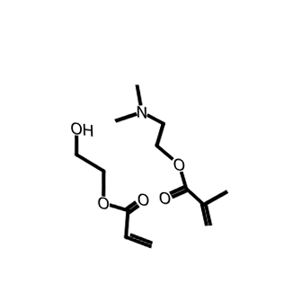 C=C(C)C(=O)OCCN(C)C.C=CC(=O)OCCO